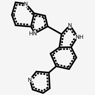 c1cncc(-c2ccc3[nH]nc(-c4cc5ncccc5[nH]4)c3c2)c1